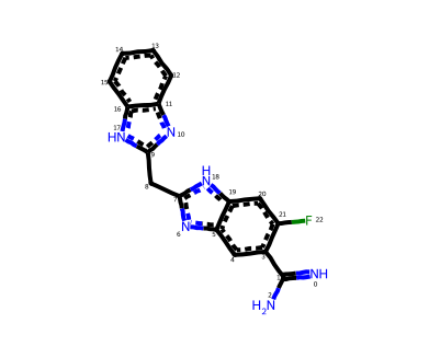 N=C(N)c1cc2nc(Cc3nc4ccccc4[nH]3)[nH]c2cc1F